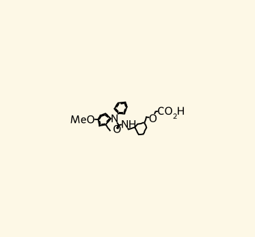 COc1ccc(N(C(=O)NCC2CCCC(COCC(=O)O)C2)c2ccccc2)c(C)c1